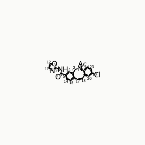 CC(=O)N1Cc2cc(C(=O)Nc3ncco3)ccc2C=Cc2cc(Cl)ccc21